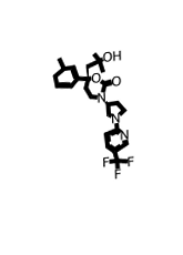 CC1C=C([C@@]2(CC(C)(C)O)CCN([C@H]3CCN(c4ccc(C(F)(F)F)cn4)C3)C(=O)O2)C=CC1